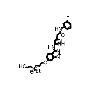 CC[N+]([O-])(CCO)CCCOc1ccc2c(Nc3cc(CC(=O)Nc4cccc(F)c4)n[nH]3)ncnc2c1